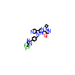 COc1cnn(C2CCC2)c1-c1ncc2c3ccncc3n(Cc3ccc(-c4nc(C(F)(F)F)cn4C)cc3)c2n1